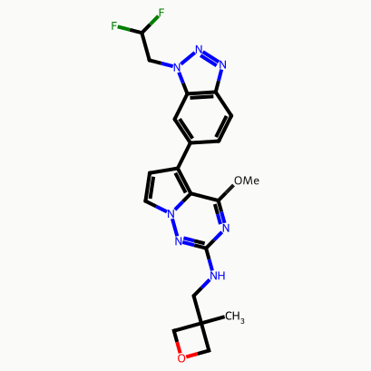 COc1nc(NCC2(C)COC2)nn2ccc(-c3ccc4nnn(CC(F)F)c4c3)c12